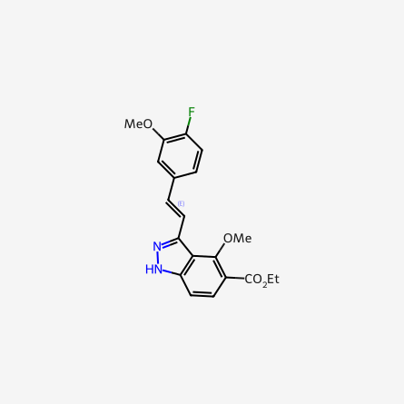 CCOC(=O)c1ccc2[nH]nc(/C=C/c3ccc(F)c(OC)c3)c2c1OC